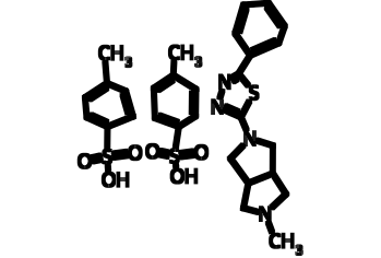 CN1CC2CN(c3nnc(-c4ccccc4)s3)CC2C1.Cc1ccc(S(=O)(=O)O)cc1.Cc1ccc(S(=O)(=O)O)cc1